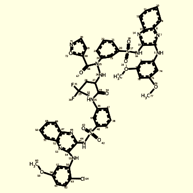 COc1cc(Nc2nc3ccccc3nc2NS(=O)(=O)c2cccc(N(NC(CC(F)(F)F)C(=O)Nc3cccc(S(=O)(=O)Nc4nc5ccccc5nc4Nc4cc(OC)ccc4Cl)c3)C(=O)c3ccno3)c2)cc(OC)c1